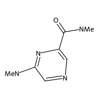 CNC(=O)c1cncc(NC)n1